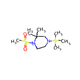 CC1(C)CN(S(C)(C)C)CCN1S(C)(=O)=O